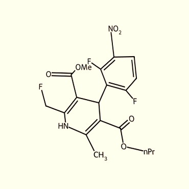 CCCOC(=O)C1=C(C)NC(CF)=C(C(=O)OC)C1c1c(F)ccc([N+](=O)[O-])c1F